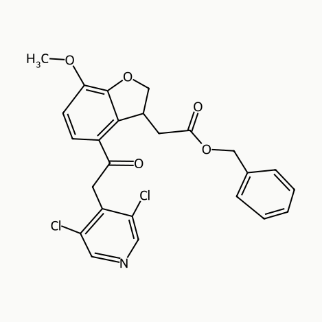 COc1ccc(C(=O)Cc2c(Cl)cncc2Cl)c2c1OCC2CC(=O)OCc1ccccc1